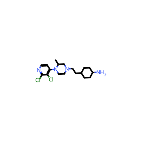 CC1CN(CCC2CCC(N)CC2)CCN1c1ccnc(Cl)c1Cl